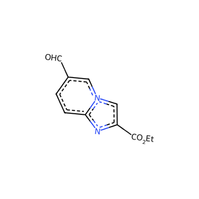 CCOC(=O)c1cn2cc(C=O)ccc2n1